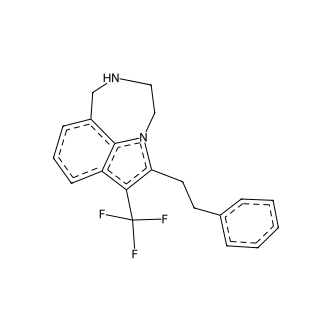 FC(F)(F)c1c(CCc2ccccc2)n2c3c(cccc13)CNCC2